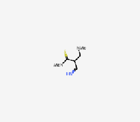 CNCC(C=N)C(=S)NC